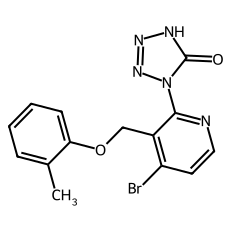 Cc1ccccc1OCc1c(Br)ccnc1-n1nn[nH]c1=O